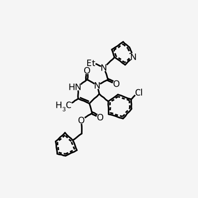 CCN(C(=O)N1C(=O)NC(C)=C(C(=O)OCc2ccccc2)C1c1cccc(Cl)c1)c1cccnc1